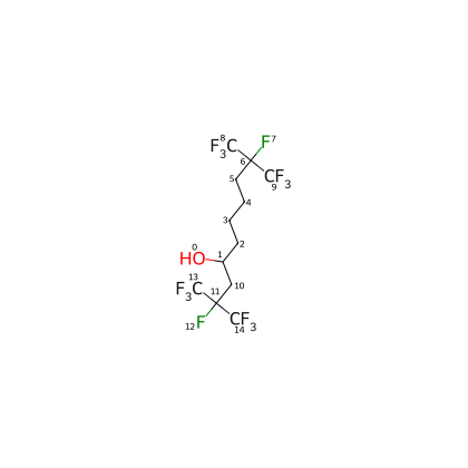 OC(CCCCC(F)(C(F)(F)F)C(F)(F)F)CC(F)(C(F)(F)F)C(F)(F)F